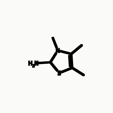 CC1=C(C)N(C)C(N)S1